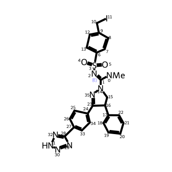 CN/C(=N\S(=O)(=O)c1ccc(CI)cc1)N1CC(c2ccccc2)C(c2ccc(-c3nn[nH]n3)cc2)=N1